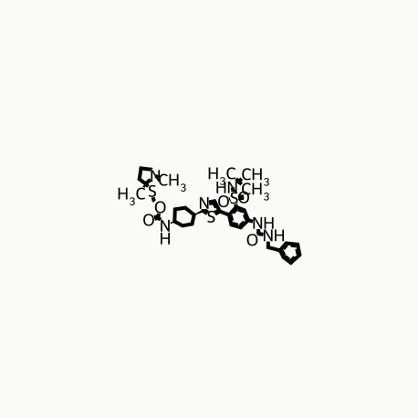 CN1CCC[C@@]1(C)SCOC(=O)N[C@H]1CC[C@H](c2ncc(-c3ccc(NC(=O)NCc4ccccc4)cc3S(=O)(=O)NC(C)(C)C)s2)CC1